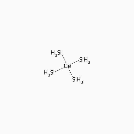 [SiH3][Ge]([SiH3])([SiH3])[SiH3]